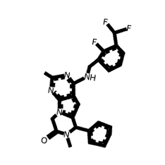 Cc1nc(NCc2cccc(C(F)F)c2F)c2cc3n(c2n1)CC(=O)N(C)C3c1ccccc1